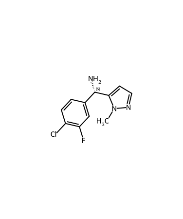 Cn1nccc1[C@@H](N)c1ccc(Cl)c(F)c1